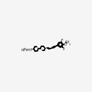 CCCCC[C@H]1CC[C@H]([C@H]2CC[C@H](C=CC#Cc3cc(F)c(OC(F)(F)F)c(F)c3)CC2)CC1